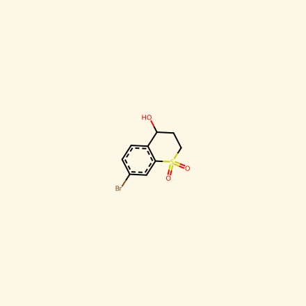 O=S1(=O)CCC(O)c2ccc(Br)cc21